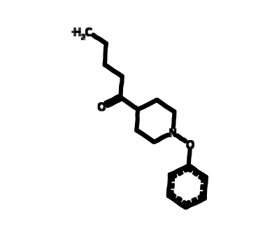 [CH2]CCCC(=O)C1CCN(Oc2ccccc2)CC1